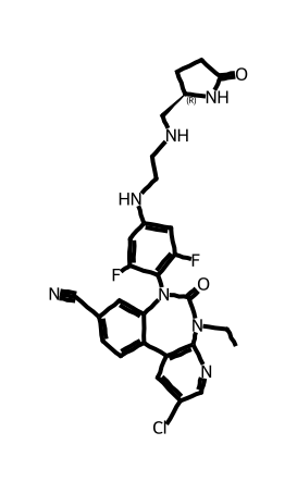 CCN1C(=O)N(c2c(F)cc(NCCNC[C@H]3CCC(=O)N3)cc2F)c2cc(C#N)ccc2-c2cc(Cl)cnc21